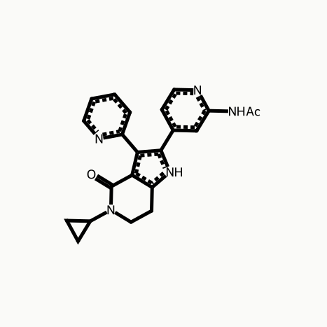 CC(=O)Nc1cc(-c2[nH]c3c(c2-c2ccccn2)C(=O)N(C2CC2)CC3)ccn1